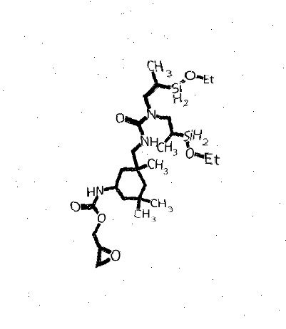 CCO[SiH2]C(C)CN(CC(C)[SiH2]OCC)C(=O)NCC1(C)CC(NC(=O)OCC2CO2)CC(C)(C)C1